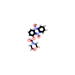 O=C(Oc1cccc2c1[n+]([O-])c1ccccc1[n+]2[O-])N1CCOCC1